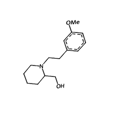 COc1cccc(CCN2CCCCC2CO)c1